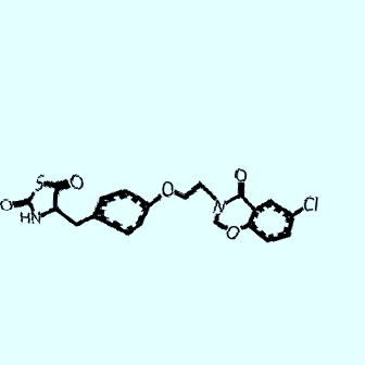 O=C1NC(Cc2ccc(OCCN3COc4ccc(Cl)cc4C3=O)cc2)C(=O)S1